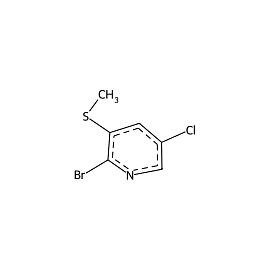 CSc1cc(Cl)cnc1Br